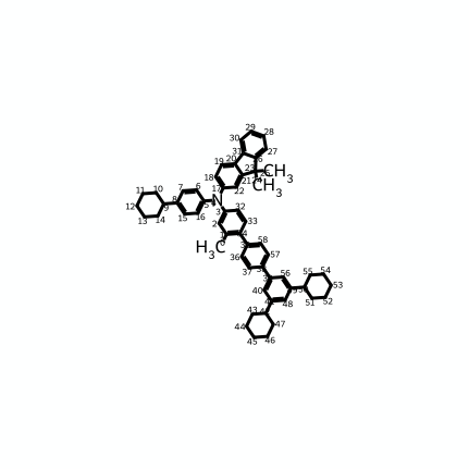 Cc1cc(N(c2ccc(C3CCCCC3)cc2)c2ccc3c(c2)C(C)(C)c2ccccc2-3)ccc1-c1ccc(-c2cc(C3CCCCC3)cc(C3CCCCC3)c2)cc1